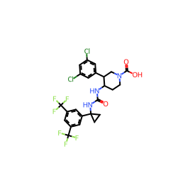 O=C(NC1CCN(C(=O)O)CC1c1cc(Cl)cc(Cl)c1)NC1(c2cc(C(F)(F)F)cc(C(F)(F)F)c2)CC1